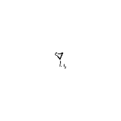 N[C@@H]1CO1